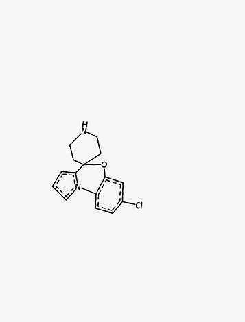 Clc1ccc2c(c1)OC1(CCNCC1)c1cccn1-2